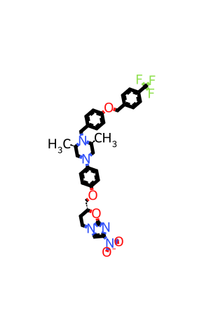 C[C@@H]1CN(c2ccc(OC[C@H]3CCn4cc([N+](=O)[O-])nc4O3)cc2)C[C@H](C)N1Cc1ccc(OCc2ccc(C(F)(F)F)cc2)cc1